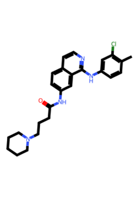 Cc1ccc(Nc2nccc3ccc(NC(=O)CCCN4CCCCC4)cc23)cc1Cl